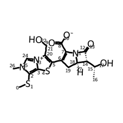 CSc1c2sc(C3=C(C(=O)[O-])N4C(=O)[C@H]([C@@H](C)O)[C@H]4C3)c(CO)[n+]2cn1C